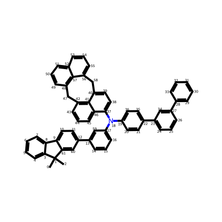 CC1(C)c2ccccc2-c2ccc(-c3cccc(N(c4ccc(-c5cccc(-c6ccccc6)c5)cc4)c4ccc5c6c(cccc46)Cc4cccc6cccc(c46)C5)c3)cc21